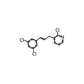 Clc1cc(Cl)cc(C=CCc2[c]ccnc2Cl)c1